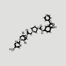 Bc1cnc(N2C[C@@H]3C[C@H]2CN3C(=O)CN2CC[C@@H](C(=O)Nc3ccc4[nH]nc(-c5ccncc5)c4c3)C2)nc1